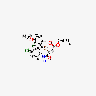 CCOC(=O)CC1SC(c2cccc(OC)c2F)c2cc(Cl)ccc2NC1=O